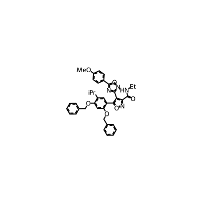 CCNC(=O)c1noc(-c2cc(C(C)C)c(OCc3ccccc3)cc2OCc2ccccc2)c1-c1noc(-c2ccc(OC)cc2)n1